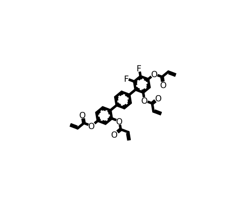 C=CC(=O)Oc1ccc(-c2ccc(-c3c(OC(=O)C=C)cc(OC(=O)C=C)c(F)c3F)cc2)c(OC(=O)C=C)c1